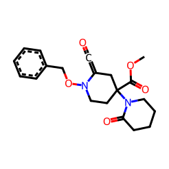 COC(=O)C1(N2CCCCC2=O)CCN(OCc2ccccc2)C(=C=O)C1